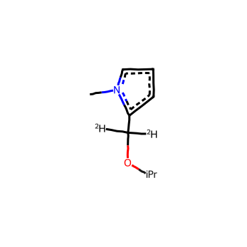 [2H]C([2H])(OC(C)C)c1cccn1C